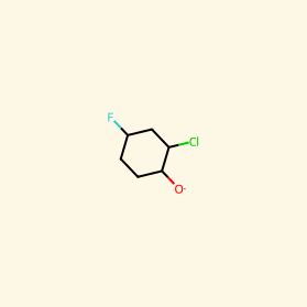 [O]C1CCC(F)CC1Cl